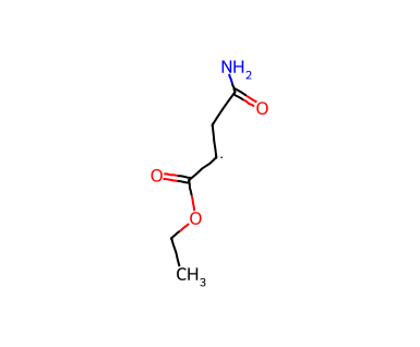 CCOC(=O)[CH]CC(N)=O